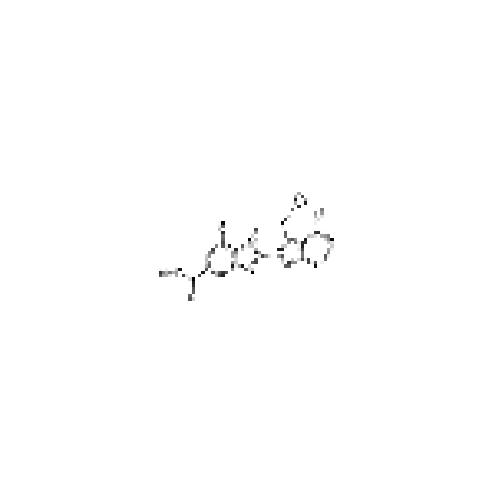 COC(=O)c1cc(F)c2c(c1)nc(-c1cc3ccnc(Cl)c3n1CC1CC1)n2C